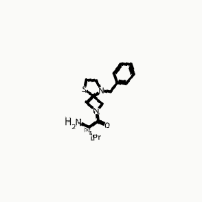 CC(C)[C@H](N)C(=O)N1CC2(C1)SCCN2Cc1ccccc1